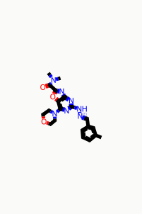 Cc1cccc(/C=N/Nc2nc(N3CCOCC3)c3oc(C(=O)N(C)C)nc3n2)c1